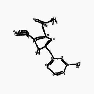 N#Cc1[nH]c(-c2cccc(Cl)c2)nc1C(N)=O